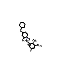 Cc1cc(N/N=C2/C=CC(SC3CCCCC3)=CC2=N)c(O)c(C(C)(C)C)c1